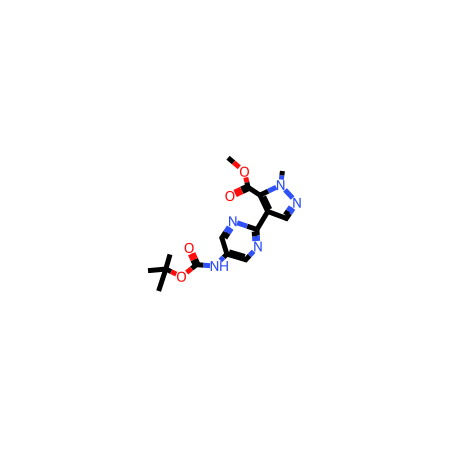 COC(=O)c1c(-c2ncc(NC(=O)OC(C)(C)C)cn2)cnn1C